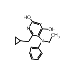 CCN(c1ccccc1)c1c(O)[c]c(O)nc1CC1CC1